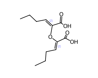 CCC/C=C(\O/C(=C\CCC)C(=O)O)C(=O)O